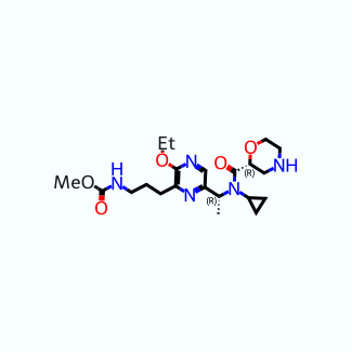 CCOc1ncc([C@@H](C)N(C(=O)[C@H]2CNCCO2)C2CC2)nc1CCCNC(=O)OC